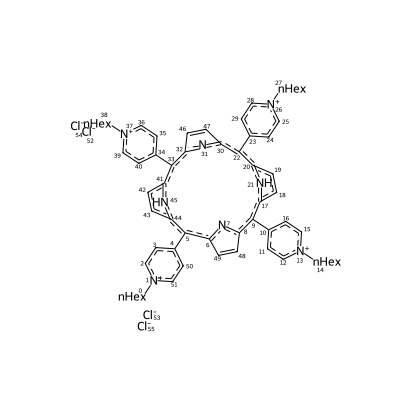 CCCCCC[n+]1ccc(-c2c3nc(c(-c4cc[n+](CCCCCC)cc4)c4ccc([nH]4)c(-c4cc[n+](CCCCCC)cc4)c4nc(c(-c5cc[n+](CCCCCC)cc5)c5ccc2[nH]5)C=C4)C=C3)cc1.[Cl-].[Cl-].[Cl-].[Cl-]